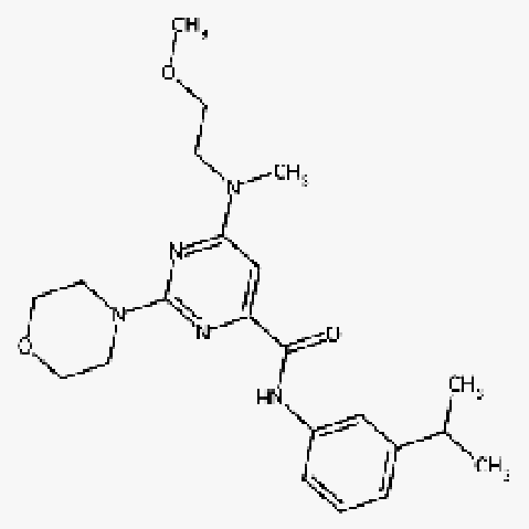 COCCN(C)c1cc(C(=O)Nc2cccc(C(C)C)c2)nc(N2CCOCC2)n1